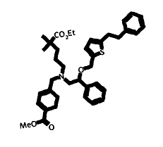 CCOC(=O)C(C)(C)CCCN(CC1=CC=C(C(=O)OC)CC1)CC(OCc1ccc(CCc2ccccc2)s1)c1ccccc1